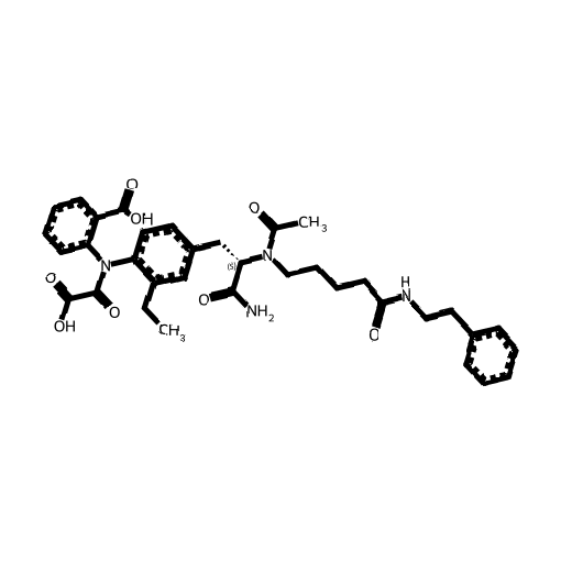 CCc1cc(C[C@@H](C(N)=O)N(CCCCC(=O)NCCc2ccccc2)C(C)=O)ccc1N(C(=O)C(=O)O)c1ccccc1C(=O)O